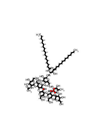 CCCCCCCCCCCCC/C=C/[C@@H](O)[C@H](CO[C@@H]1OC(CO)[C@@H](O[C@@H]2OC(CO)[C@H](O[C@@H]3OC(CO)[C@H](O)[C@H](O)C3NC(C)=O)[C@H](O[C@H]3OC(CO)[C@H](O)[C@H](O[C@@H]4OC(CO)[C@@H](O[C@@H]5OC(CO)[C@H](O)[C@H](O)C5O)[C@H](O[C@H]5OC(C)[C@@H](O)C(O)[C@@H]5O)C4NC(C)=O)C3O)C2O)[C@H](O)C1O)NC(=O)CCCCCCCCCCCCCCCCC